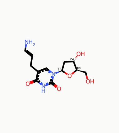 NC=CCc1cn([C@H]2C[C@H](O)[C@@H](CO)O2)c(=O)[nH]c1=O